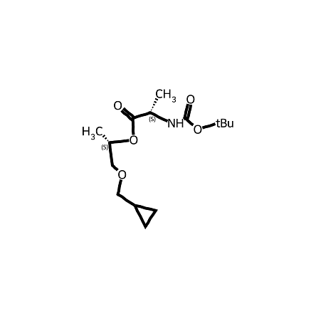 C[C@H](NC(=O)OC(C)(C)C)C(=O)O[C@@H](C)COCC1CC1